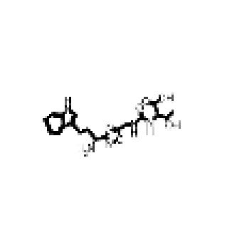 CC(O)C(NC(=O)NCc1nc([C@@H](N)CCc2c[nH]c3ccccc23)no1)C(=O)O